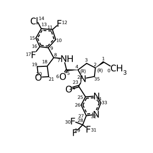 CC[C@@H]1C[C@H](C(=O)NC(c2cc(F)c(Cl)cc2F)C2COC2)N(C(=O)c2cc(C(F)(F)F)ncn2)C1